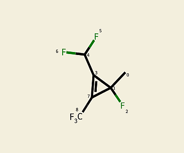 CC1(F)C(C(F)F)=C1C(F)(F)F